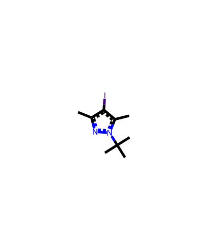 Cc1nn(C(C)(C)C)c(C)c1I